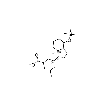 CCC[C@H](CC(C)C(=O)O)[C@H]1CCC2C(O[Si](C)(C)C)CCC[C@@]21C